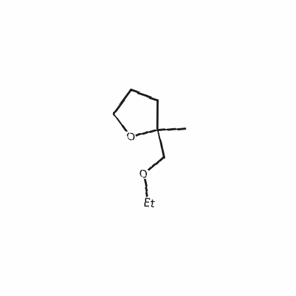 [CH2]COCC1(C)CCCO1